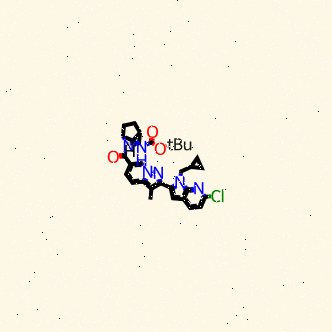 Cc1c(-c2cc3ccc(Cl)nc3n2CC2CC2)nn2cc(C(=O)N3CC4CCC3[C@@H]4NC(=O)OC(C)(C)C)ccc12